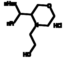 CCCCCCC(CCC)C1COCCN1CCO.Cl